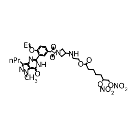 CCCc1nn(C)c2c(=O)[nH]c(-c3cc(S(=O)(=O)N4CC(NCCOC(=O)CCCCC(CO[N+](=O)[O-])O[N+](=O)[O-])C4)ccc3OCC)nc12